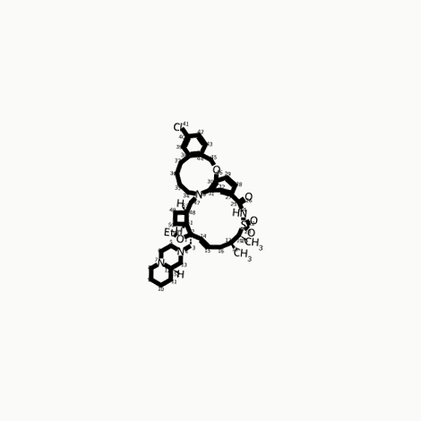 CCO[C@]1(CN2CCN3CCCC[C@@H]3C2)/C=C/C[C@H](C)[C@@H](C)S(=O)(=O)NC(=O)c2ccc3c(c2)N(CCCCc2cc(Cl)ccc2CO3)C[C@@H]2CC[C@H]21